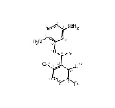 Bc1cnc(N)c(OC(C)c2c(Cl)ccc(F)c2Cl)c1